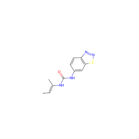 C/C=C(\C)NC(=O)Nc1ccc2nnsc2c1